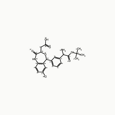 CC(C)(C)OC(=O)C(N)c1cccc(C2OC(CC(=O)O)C(=O)Nc3ccc(Cl)cc32)c1